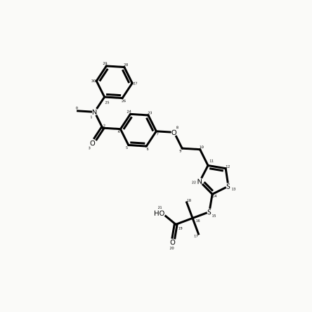 CN(C(=O)c1ccc(OCCc2csc(SC(C)(C)C(=O)O)n2)cc1)c1ccccc1